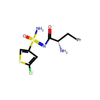 CC(C)C[C@H](N)C(=O)N=S(N)(=O)c1csc(Cl)c1